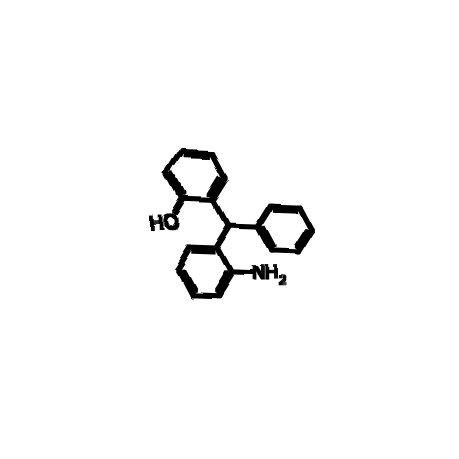 Nc1ccccc1C(c1ccccc1)c1ccccc1O